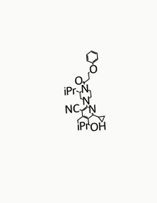 CC(C)Cc1c(C#N)c(N2CCN(C(=O)CCOc3ccccc3)[C@H](C(C)C)C2)nc(C2CC2)c1CO